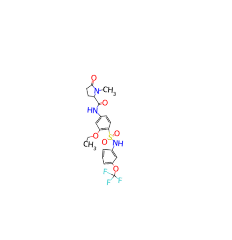 CCOc1cc(NC(=O)C2CCC(=O)N2C)ccc1S(=O)(=O)Nc1cccc(OC(F)(F)F)c1